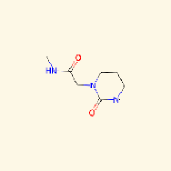 CNC(=O)CN1CCC[N]C1=O